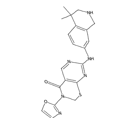 CC1(C)CNCc2cc(Nc3ncc4c(n3)SCN(c3ncco3)C4=O)ccc21